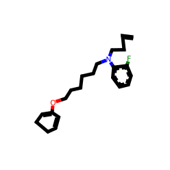 C=CCCN(CCCCCCOC1=CC[CH]C=C1)c1ccccc1F